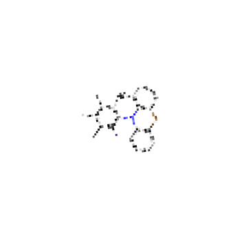 Cc1c(C)c(C)c(N2c3ccccc3Sc3cccc(C#N)c32)c(I)c1C